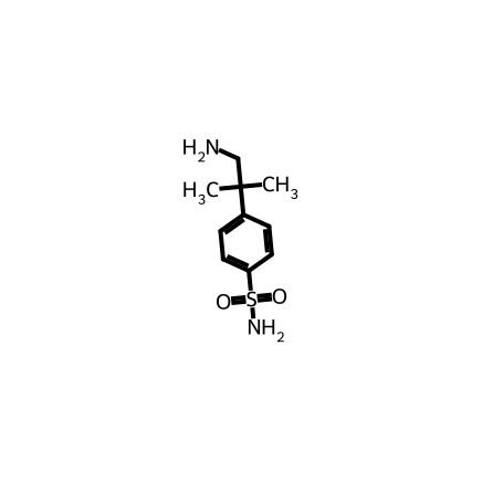 CC(C)(CN)c1ccc(S(N)(=O)=O)cc1